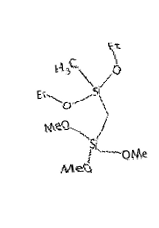 CCO[Si](C)(C[Si](OC)(OC)OC)OCC